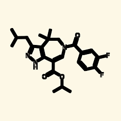 CC(C)Cc1n[nH]c2c1C(C)(C)CN(C(=O)c1ccc(F)c(F)c1)C=C2C(=O)OC(C)C